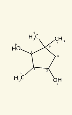 CC1C(O)CC(C)(C)C1O